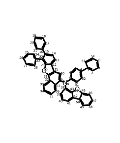 c1ccc(-c2ccc(N(c3cc4c5ccc(-c6ccccc6)c(-c6ccccc6)c5oc4c4ccccc34)c3cccc4c3oc3ccccc34)cc2)cc1